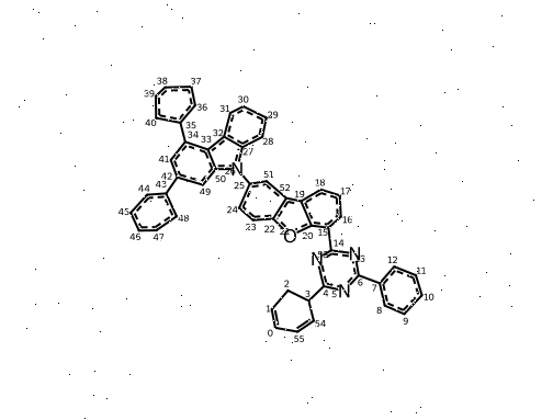 C1=CCC(c2nc(-c3ccccc3)nc(-c3cccc4c3oc3ccc(-n5c6ccccc6c6c(-c7ccccc7)cc(-c7ccccc7)cc65)cc34)n2)C=C1